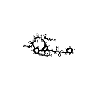 CN[C@@H]1C(=O)N[C@H](C)C(=O)N[C@H](C(=O)OC)Cc2cc(OCCNC(=O)OCc3ccccc3)c(OC)c(c2)-c2cc1ccc2OC